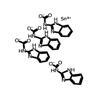 O=C([O-])Nc1nc2ccccc2[nH]1.O=C([O-])Nc1nc2ccccc2[nH]1.O=C([O-])Nc1nc2ccccc2[nH]1.O=C([O-])Nc1nc2ccccc2[nH]1.[Sn+4]